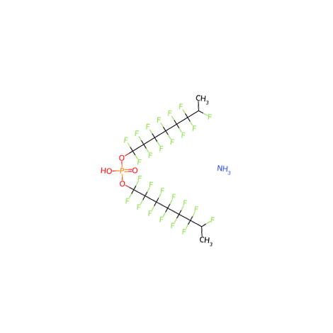 CC(F)C(F)(F)C(F)(F)C(F)(F)C(F)(F)C(F)(F)C(F)(F)OP(=O)(O)OC(F)(F)C(F)(F)C(F)(F)C(F)(F)C(F)(F)C(F)(F)C(C)F.N